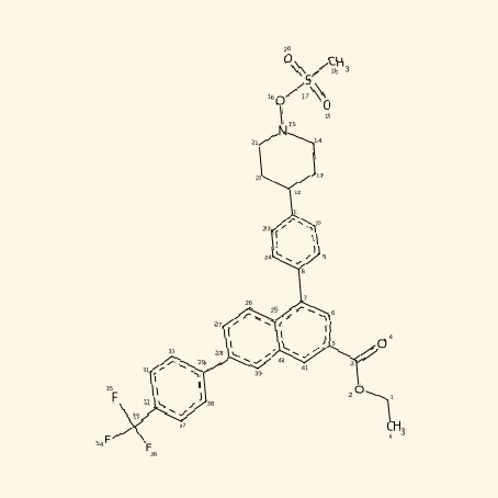 CCOC(=O)c1cc(-c2ccc(C3CCN(OS(C)(=O)=O)CC3)cc2)c2ccc(-c3ccc(C(F)(F)F)cc3)cc2c1